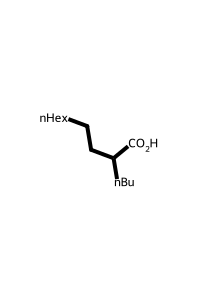 CCCCCCCCC(CCCC)C(=O)O